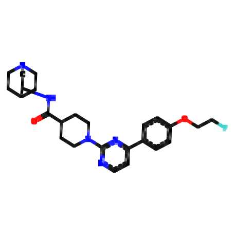 O=C(NC1CN2CCC1CC2)C1CCN(c2nccc(-c3ccc(OCCF)cc3)n2)CC1